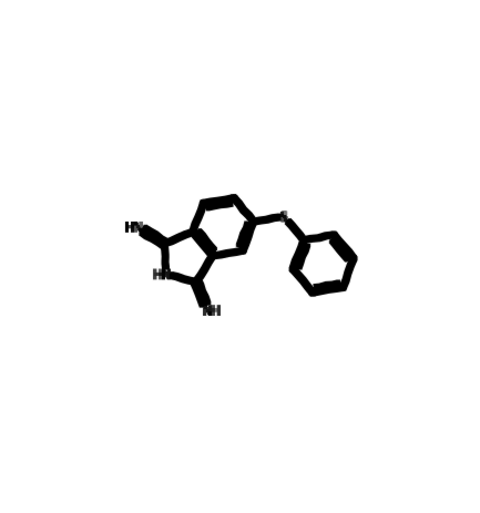 N=C1NC(=N)c2cc(Sc3ccccc3)ccc21